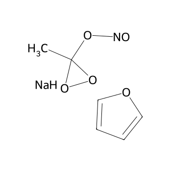 CC1(ON=O)OO1.[NaH].c1ccoc1